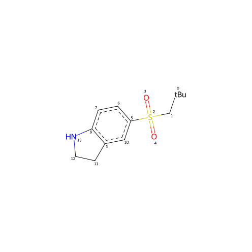 CC(C)(C)CS(=O)(=O)c1ccc2c(c1)CCN2